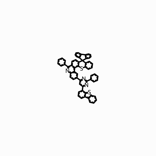 c1ccc(-c2nc(-c3ccc4nc(-c5ccccc5)c5ccc6c(c5c4c3)Sc3ccccc3C63c4ccccc4-c4ccccc43)cc(-c3cccc4c3sc3ccccc34)n2)cc1